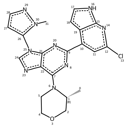 C[C@@H]1COCCN1c1nc(-c2cc(Cl)nc3[nH]ccc23)nc2c1ncn2-c1ccnn1C